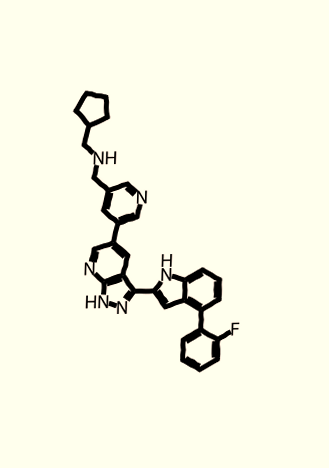 Fc1ccccc1-c1cccc2[nH]c(-c3n[nH]c4ncc(-c5cncc(CNCC6CCCC6)c5)cc34)cc12